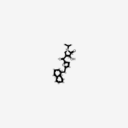 CC(C)N1CC(C(=O)c2ccc(Cc3cccc4ccccc34)o2)=C(O)C1=O